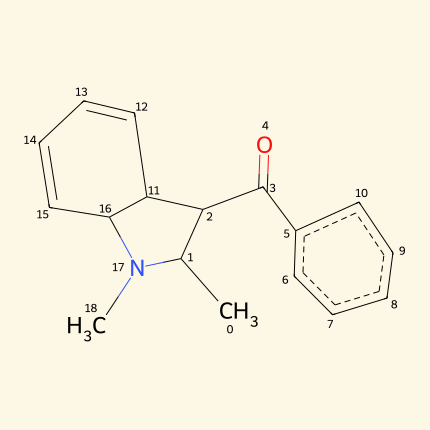 CC1C(C(=O)c2ccccc2)C2C=CC=CC2N1C